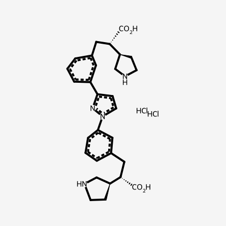 Cl.Cl.O=C(O)[C@@H](Cc1cccc(-c2ccn(-c3cccc(C[C@H](C(=O)O)[C@H]4CCNC4)c3)n2)c1)[C@H]1CCNC1